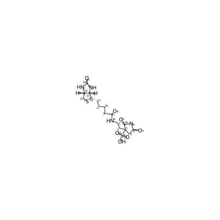 O=C1CC(CCNC(=O)CCCC[C@@H]2SC[C@@H]3NC(=O)N[C@@H]32)(S(=O)(=O)O)C(=O)[N]1